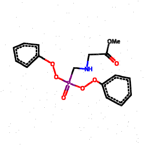 COC(=O)CNCP(=O)(OOc1ccccc1)OOc1ccccc1